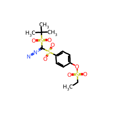 CCS(=O)(=O)Oc1ccc(S(=O)(=O)C(=[N+]=[N-])S(=O)(=O)C(C)(C)C)cc1